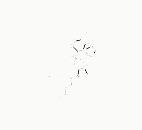 CCCCCC(CCCC)c1sccc1CC(O)(Cn1cncn1)c1ccc(F)cc1F